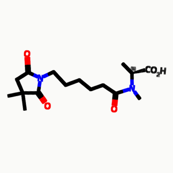 C[C@@H](C(=O)O)N(C)C(=O)CCCCCN1C(=O)CC(C)(C)C1=O